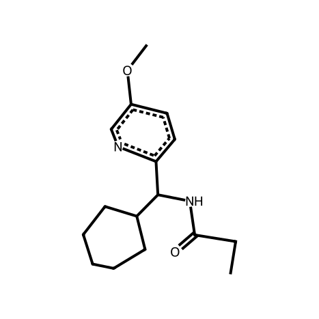 CCC(=O)NC(c1ccc(OC)cn1)C1CCCCC1